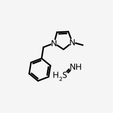 CN1C=CN(Cc2ccccc2)C1.N=[SH2]